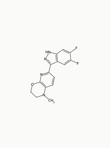 CN1CCOc2nc(-c3n[nH]c4cc(F)c(F)cc34)ccc21